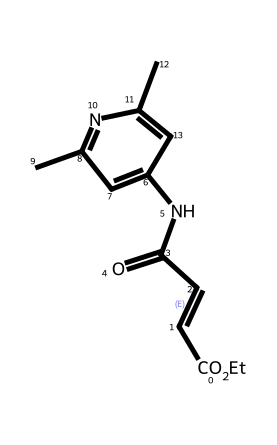 CCOC(=O)/C=C/C(=O)Nc1cc(C)nc(C)c1